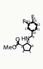 COC(=O)[C@@H]1CCC[C@@H]1NCc1ccc(F)c(F)c1